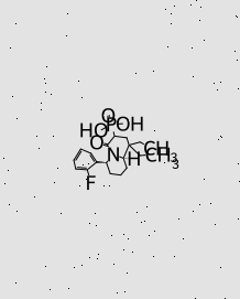 CCC1(CC)CC(P(=O)(O)O)C(=O)N2[C@H](c3ccccc3F)CCC[C@@H]21